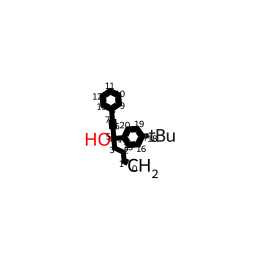 C=CCCC(O)(C#Cc1ccccc1)c1ccc(C(C)(C)C)cc1